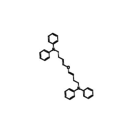 C(=COC=CCCN(c1ccccc1)c1ccccc1)CCN(c1ccccc1)c1ccccc1